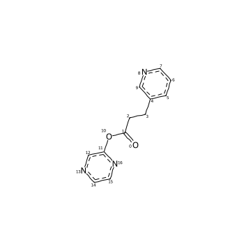 O=C(CCc1cccnc1)Oc1cnccn1